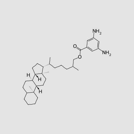 CC(CCCC(C)[C@H]1CC[C@H]2[C@@H]3CCC4CCCC[C@]4(C)[C@H]3CC[C@]12C)COC(=O)c1cc(N)cc(N)c1